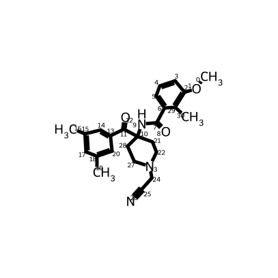 COc1cccc(C(=O)NC2(C(=O)c3cc(C)cc(C)c3)CCN(CC#N)CC2)c1C